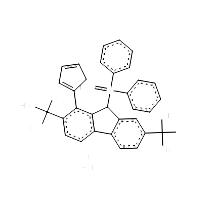 CC(C)(C)c1ccc2c(c1)[CH]([Ti](=[SiH2])([c]1ccccc1)[c]1ccccc1)c1c-2ccc(C(C)(C)C)c1C1=CC=CC1.Cl.Cl